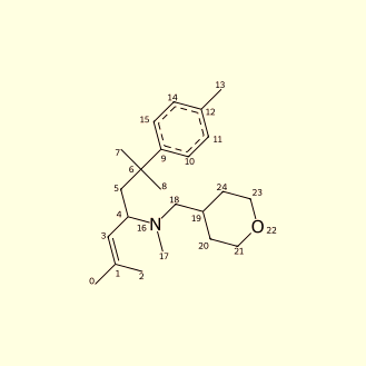 CC(C)=CC(CC(C)(C)c1ccc(C)cc1)N(C)CC1CCOCC1